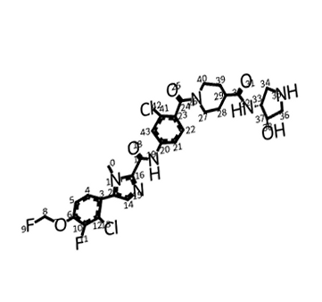 Cn1c(-c2ccc(OCF)c(F)c2Cl)cnc1C(=O)Nc1ccc(C(=O)N2CCC(C(=O)N[C@@H]3CNC[C@H]3O)CC2)c(Cl)c1